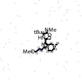 CNC(=O)[C@@H](NC(=O)c1nc(/C=C/COC)n2c1CN(C)CCC2)C(C)(C)C